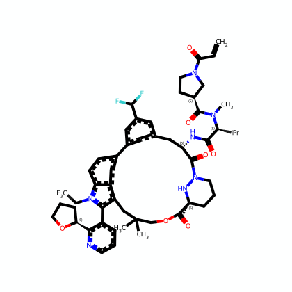 C=CC(=O)N1CC[C@H](C(=O)N(C)[C@H](C(=O)N[C@H]2Cc3cc(cc(C(F)F)c3)-c3ccc4c(c3)c(c(-c3cccnc3[C@@H]3CCCO3)n4CC(F)(F)F)CC(C)(C)COC(=O)[C@@H]3CCCN(N3)C2=O)C(C)C)C1